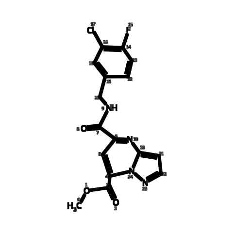 COC(=O)c1cc(C(=O)NCc2ccc(F)c(Cl)c2)nc2ccnn12